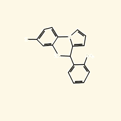 Nc1ccccc1C1Nc2cc(Cl)ccc2-n2cccc21